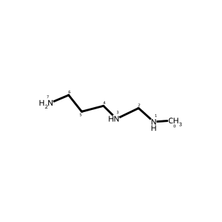 CNCNCCCN